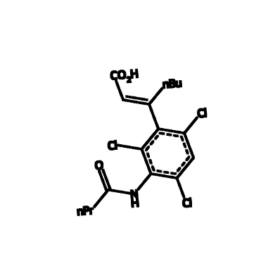 CCCCC(=CC(=O)O)c1c(Cl)cc(Cl)c(NC(=O)CCC)c1Cl